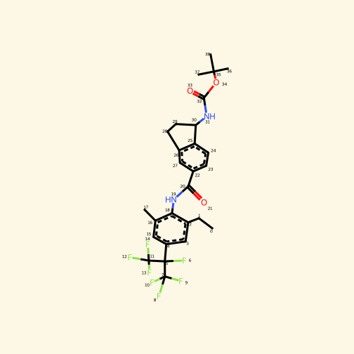 CCc1cc(C(F)(C(F)(F)F)C(F)(F)F)cc(C)c1NC(=O)c1ccc2c(c1)CCC2NC(=O)OC(C)(C)C